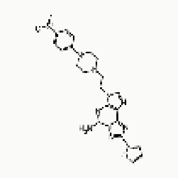 C[S+]([O-])c1ccc(N2CCN(CCn3cnc4c3nc(N)n3nc(-c5ccco5)nc43)CC2)cc1